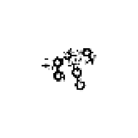 Cc1nn(-c2ccc(OC(F)F)c(-c3cccnc3)c2)c(OC(=O)N2CCC(N3CCCCC3)CC2)c1C(=O)Nc1cccc(C(C)(F)F)c1